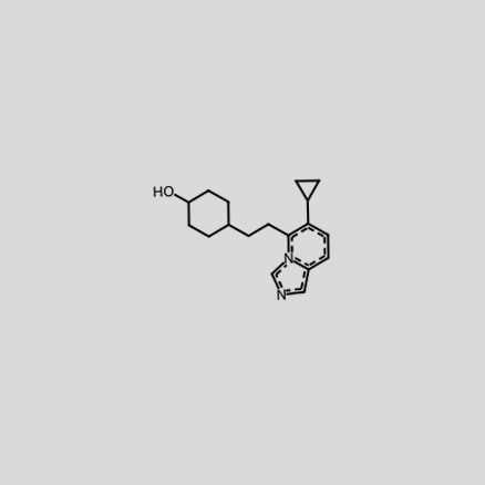 OC1CCC(CCc2c(C3CC3)ccc3cncn23)CC1